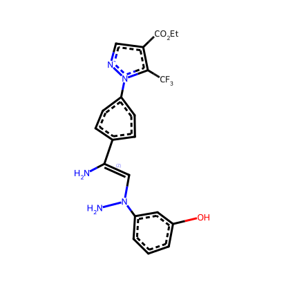 CCOC(=O)c1cnn(-c2ccc(/C(N)=C/N(N)c3cccc(O)c3)cc2)c1C(F)(F)F